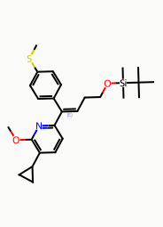 COc1nc(/C(=C/CCO[Si](C)(C)C(C)(C)C)c2ccc(SC)cc2)ccc1C1CC1